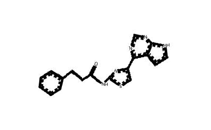 O=C(CCc1ccccc1)Nc1nc(-c2ncnc3[nH]ccc23)cs1